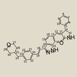 O=C1NCC(c2ccccc2)C1=Cc1ccc2c(/C=C/c3ccc(CC4CCOCC4)cc3)n[nH]c2c1